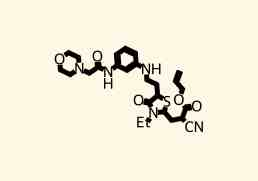 C=CCOC(=O)C(C#N)CC1SC(CCNc2cccc(NC(=O)CN3CCOCC3)c2)C(=O)N1CC